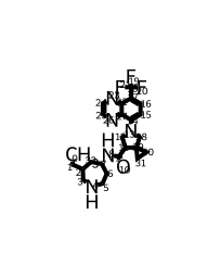 CCC1CNCCC(NC(=O)C2CN(c3ccc(C(F)(F)F)c4nccnc34)CC23CC3)C1